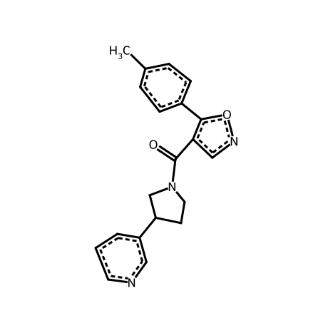 Cc1ccc(-c2oncc2C(=O)N2CCC(c3cccnc3)C2)cc1